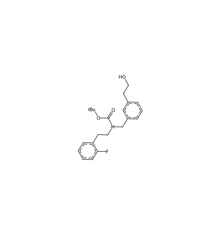 CC(C)(C)OC(=O)N(CCc1ccccc1F)Cc1cccc(CCO)c1